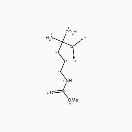 COC(=O)NCCCC(N)(C(=O)O)C(F)F